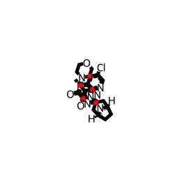 Cn1c(=O)c(=O)n(C2C[C@H]3CC[C@@H](C2)N3c2ncc(CN3CCOCC3)cn2)c2ncc(Cl)cc21